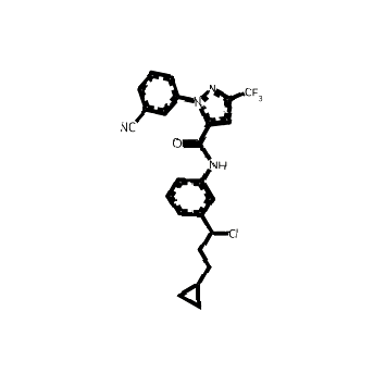 N#Cc1cccc(-n2nc(C(F)(F)F)cc2C(=O)Nc2cccc(C(Cl)CCC3CC3)c2)c1